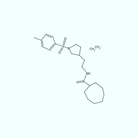 Cc1ccc(S(=O)(=O)N2CCC(CCNC(=O)[C]3CCCCCCC3)C2)cc1.[CH2].[CH2]